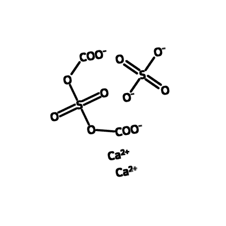 O=C([O-])OS(=O)(=O)OC(=O)[O-].O=S(=O)([O-])[O-].[Ca+2].[Ca+2]